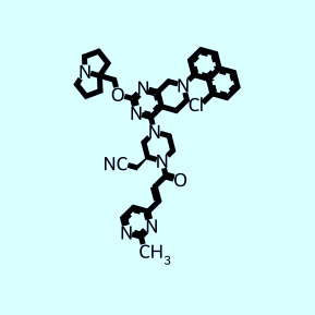 Cc1nccc(/C=C/C(=O)N2CCN(c3nc(OCC45CCCN4CCC5)nc4c3CCN(c3cccc5cccc(Cl)c35)C4)C[C@@H]2CC#N)n1